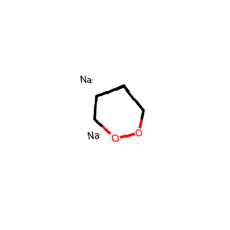 C1CCOOC1.[Na].[Na]